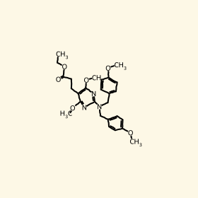 CCOC(=O)CCc1c(OC)nc(N(Cc2ccc(OC)cc2)Cc2ccc(OC)cc2)nc1OC